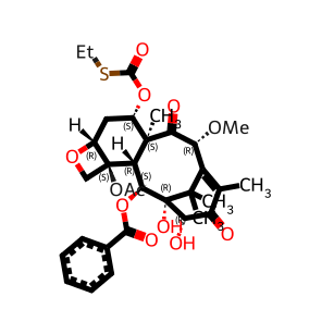 CCSC(=O)O[C@H]1C[C@H]2OC[C@@]2(OC(C)=O)[C@H]2[C@H](OC(=O)c3ccccc3)[C@]3(O)[C@@H](O)C(=O)C(C)=C([C@@H](OC)C(=O)[C@]12C)C3(C)C